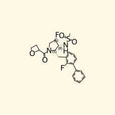 CS(=O)(=O)N[C@H]1[C@@H](F)CN(C(=O)C2CCO2)[C@H]1Cc1cccc(-c2ccccc2)c1F